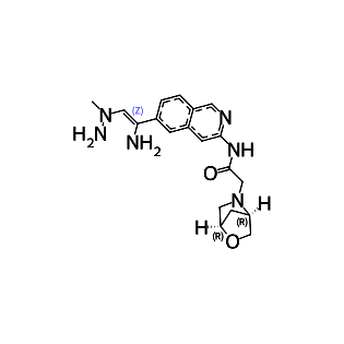 CN(N)/C=C(\N)c1ccc2cnc(NC(=O)CN3C[C@H]4C[C@@H]3CO4)cc2c1